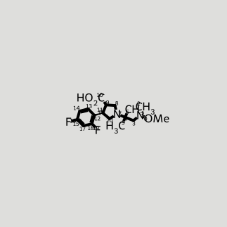 CON(C)CC(C)(C)N1CC(C(=O)O)[C@H](c2ccc(F)cc2F)C1